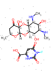 CN[C@@H]1[C@H](O)[C@H](NC)[C@H]2O[C@@]3(O)C(=O)C[C@@H](C)O[C@H]3O[C@@H]2[C@H]1O.O=C(O)c1cc(=O)n(F)c(=O)[nH]1